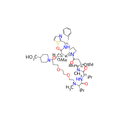 CC[C@H](C)[C@@H]([C@@H](CC(=O)N1CCC[C@H]1[C@H](OC)[C@@H](C)C(=O)N[C@@H](Cc1ccccc1)c1nccs1)OC)N(C)C(=O)[C@@H](NC(=O)C(C(C)C)N(C)CCOCCOCCC(=O)N1CCC(C(=O)O)CC1)C(C)C